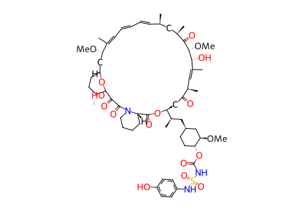 CO[C@H]1C[C@@H]2CC[C@@H](C)[C@@](O)(O2)C(=O)C(=O)N2CCCC[C@H]2C(=O)O[C@H]([C@H](C)C[C@@H]2CC[C@@H](OC(=O)NS(=O)(=O)Nc3ccc(O)cc3)[C@H](OC)C2)CC(=O)[C@H](C)/C=C(\C)[C@@H](O)[C@@H](OC)C(=O)[C@H](C)C[C@H](C)/C=C/C=C/C=C/1C